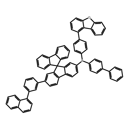 c1ccc(-c2ccc(N(c3ccc(-c4cccc5oc6ccccc6c45)cc3)c3ccc4c(c3)C3(c5ccccc5-c5ccccc53)c3cc(-c5cccc(-c6cccc7ccccc67)c5)ccc3-4)cc2)cc1